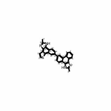 Cc1nc2c3ccccc3c3cc(-c4ccc5c(c4)c4sccc4c4nc(C)[nH]c54)ccc3c2[nH]1